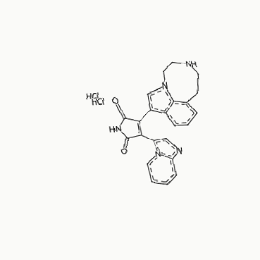 Cl.Cl.O=C1NC(=O)C(c2cnc3ccccn23)=C1c1cn2c3c(cccc13)CCNCC2